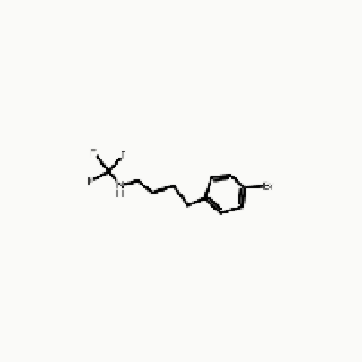 FC(F)(F)NCCCCc1ccc(Br)cc1